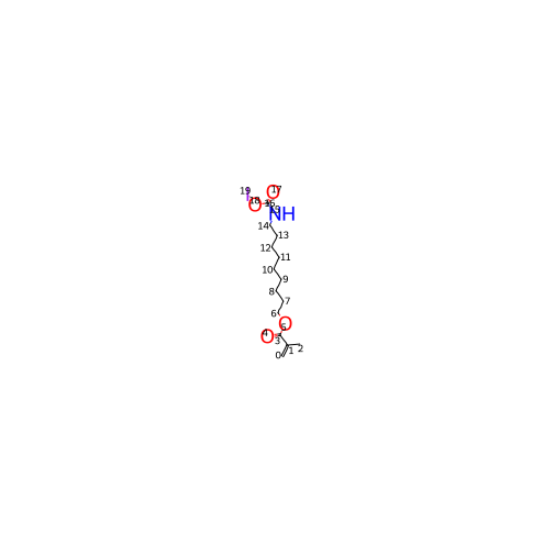 C=C(C)C(=O)OCCCCCCCCCNC(=O)OI